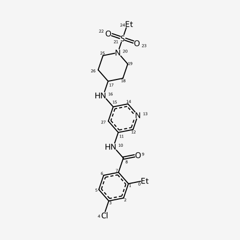 CCc1cc(Cl)ccc1C(=O)Nc1cncc(NC2CCN(S(=O)(=O)CC)CC2)c1